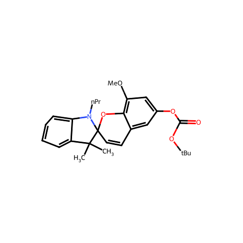 CCCN1c2ccccc2C(C)(C)C12C=Cc1cc(OC(=O)OC(C)(C)C)cc(OC)c1O2